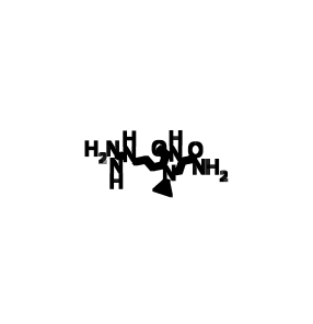 N=C(N)NCCCC1C(=O)NC(C(N)=O)CN1C1CC1